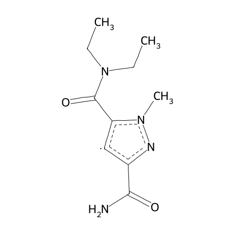 CCN(CC)C(=O)c1[c]c(C(N)=O)nn1C